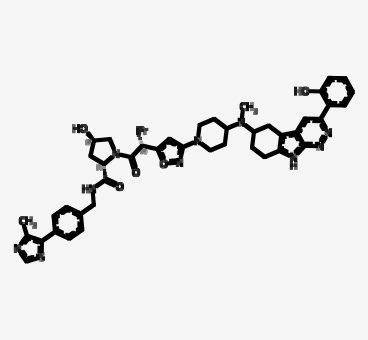 Cc1ncsc1-c1ccc(CNC(=O)[C@@H]2C[C@@H](O)CN2C(=O)[C@@H](c2cc(N3CCC(N(C)C4CCc5[nH]c6nnc(-c7ccccc7O)cc6c5C4)CC3)no2)C(C)C)cc1